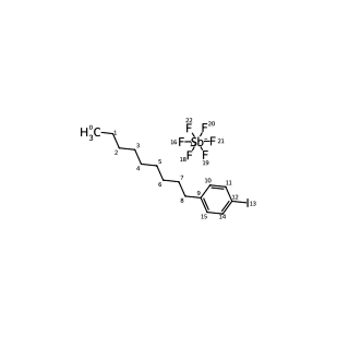 CCCCCCCCCc1ccc(I)cc1.[F][Sb-]([F])([F])([F])([F])[F]